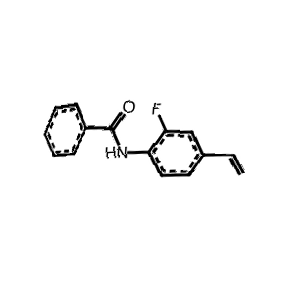 C=Cc1ccc(NC(=O)c2ccccc2)c(F)c1